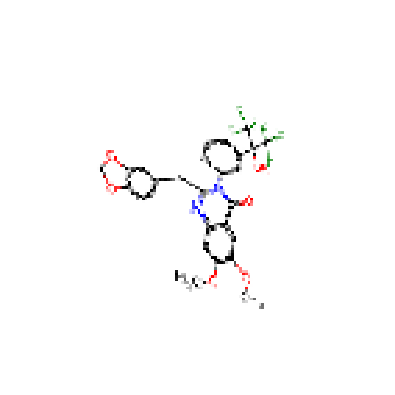 COc1cc2nc(Cc3ccc4c(c3)OCO4)n(-c3cccc(C(O)(C(F)(F)F)C(F)(F)F)c3)c(=O)c2cc1OC